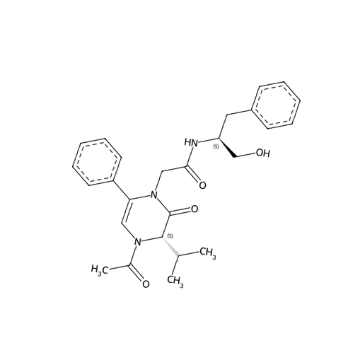 CC(=O)N1C=C(c2ccccc2)N(CC(=O)N[C@H](CO)Cc2ccccc2)C(=O)[C@@H]1C(C)C